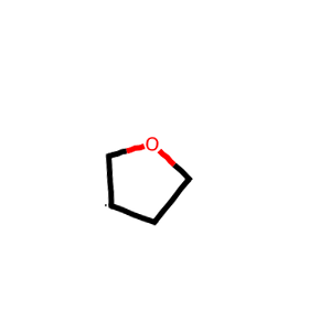 [CH]1CCOC1